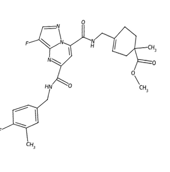 COC(=O)C1(C)CC=C(CNC(=O)c2cc(C(=O)NCc3ccc(F)c(C)c3)nc3c(F)cnn23)CC1